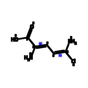 N/C(=C\C=C(/N)Cl)C(=O)O